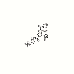 CC(C)N1c2c(cc(C(=O)Nc3ccc(OC(F)(F)Cl)cc3)cc2-c2ccn[nH]2)CC1C(=O)N1CCOCC1